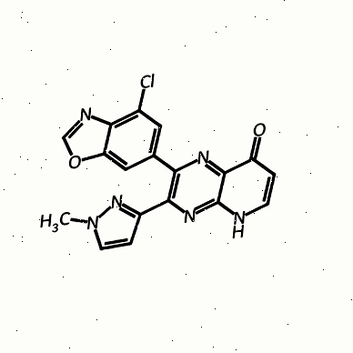 Cn1ccc(-c2nc3[nH]ccc(=O)c3nc2-c2cc(Cl)c3ncoc3c2)n1